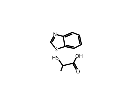 CC(S)C(=O)O.c1ccc2scnc2c1